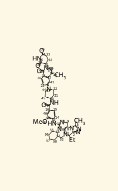 CC[C@@H]1c2nnc(C)n2-c2cnc(Nc3ccc(C(=O)NC4CCN(c5ccc6c(=O)n(C7CCC(=O)NC7=O)nc(C)c6c5)CC4)cc3OC)nc2N1CC1CCCCC1